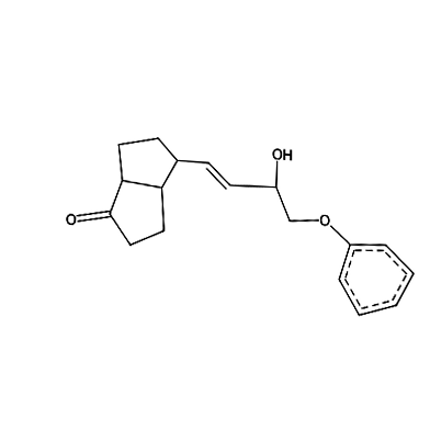 O=C1CCC2C(C=CC(O)COc3ccccc3)CCC12